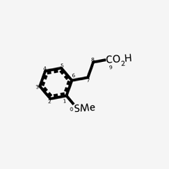 CSc1ccccc1CCC(=O)O